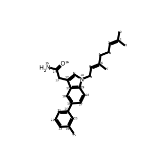 CC(C)=CCC/C(C)=C/Cn1cc(CC(N)=O)c2cc(-c3cccc(C)c3)ccc21